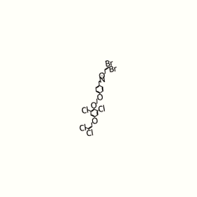 ClC(Cl)=CCOc1cc(Cl)c(OCCOc2ccc(C=NOCC=C(Br)Br)cc2)c(Cl)c1